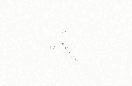 N#Cc1cn2c(NCc3c(F)ccc4c3CCO4)ncc(C3CCNCC3)c2n1